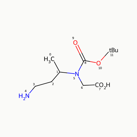 CC(CCN)N(CC(=O)O)C(=O)OC(C)(C)C